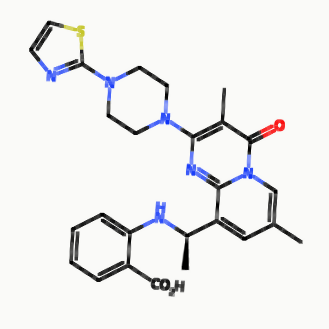 Cc1cc([C@@H](C)Nc2ccccc2C(=O)O)c2nc(N3CCN(c4nccs4)CC3)c(C)c(=O)n2c1